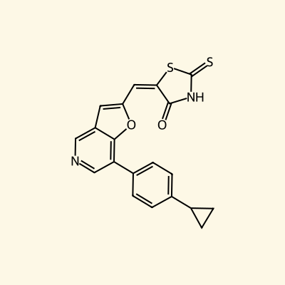 O=C1NC(=S)SC1=Cc1cc2cncc(-c3ccc(C4CC4)cc3)c2o1